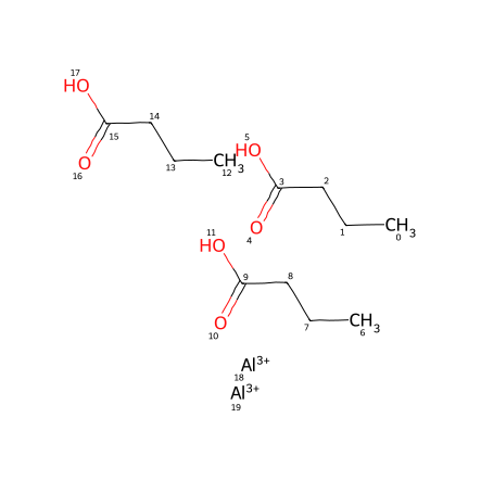 CCCC(=O)O.CCCC(=O)O.CCCC(=O)O.[Al+3].[Al+3]